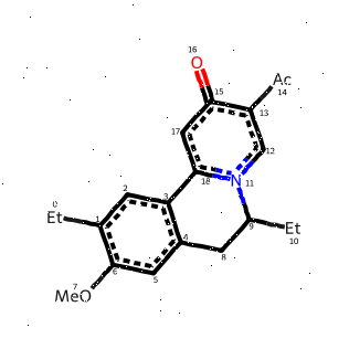 CCc1cc2c(cc1OC)CC(CC)n1cc(C(C)=O)c(=O)cc1-2